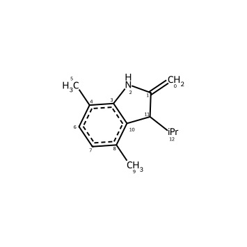 C=C1Nc2c(C)ccc(C)c2C1C(C)C